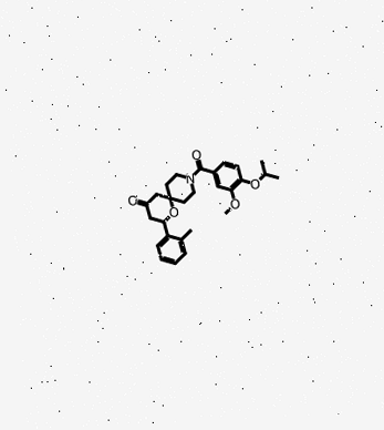 COc1cc(C(=O)N2CCC3(CC2)CC(=O)CC(c2ccccc2C)O3)ccc1OC(C)C